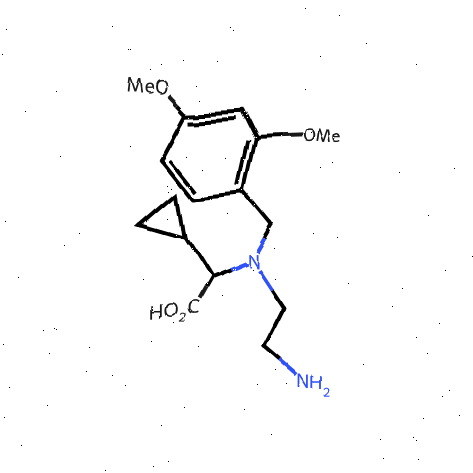 COc1ccc(CN(CCN)C(C(=O)O)C2CC2)c(OC)c1